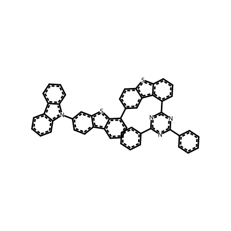 c1ccc(-c2nc(-c3ccccc3)nc(-c3cccc4sc5ccc(-c6cccc7c6sc6cc(-n8c9ccccc9c9ccccc98)ccc67)cc5c34)n2)cc1